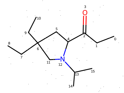 CCC(=O)C1CC(CC)(CC)CN1C(C)C